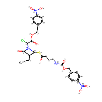 CCC1C(=O)N(C(Cl)C(=O)OCc2ccc([N+](=O)[O-])cc2)C1SC(=O)CCCNC(=O)OCc1ccc([N+](=O)[O-])cc1